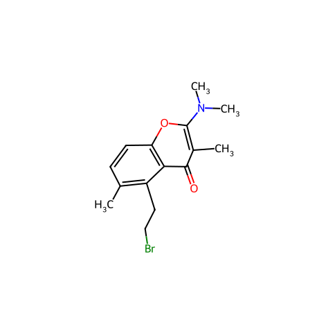 Cc1ccc2oc(N(C)C)c(C)c(=O)c2c1CCBr